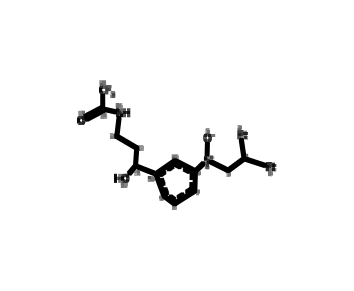 CCC(CC)C[S+]([O-])c1cccc(C(O)CCNC(=O)C(F)(F)F)c1